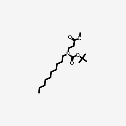 CCCCCCCCCCN(CCC(=O)OC)C(=O)OC(C)(C)C